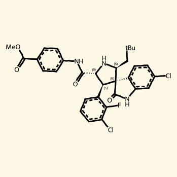 COC(=O)c1ccc(NC(=O)[C@@H]2N[C@@H](CC(C)(C)C)[C@@]3(C(=O)Nc4cc(Cl)ccc43)[C@H]2c2cccc(Cl)c2F)cc1